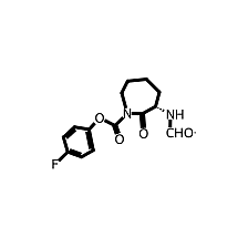 O=[C]N[C@H]1CCCCN(C(=O)Oc2ccc(F)cc2)C1=O